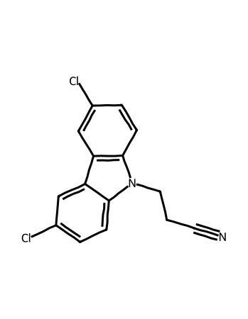 N#CCCn1c2ccc(Cl)cc2c2cc(Cl)ccc21